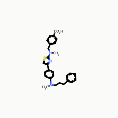 CN(CCCc1ccccc1)c1ccc(-c2csc(N(C)Cc3ccc(C(=O)O)cc3)n2)cc1